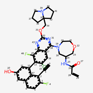 C#Cc1c(F)ccc2cc(O)cc(-c3c(Cl)cc4c(N5CCOCC(NC(=O)C=C)C5)nc(OCC56CCCN5CCC6)nc4c3F)c12